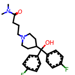 CN(C)C(=O)CCCN1CCC(C(O)(c2ccc(F)cc2)c2ccc(F)cc2)CC1